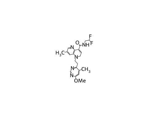 COC1=C=C(C)C(CCN2CC=C(C(=O)NCC(F)F)c3ncc(C)cc32)=NC=N1